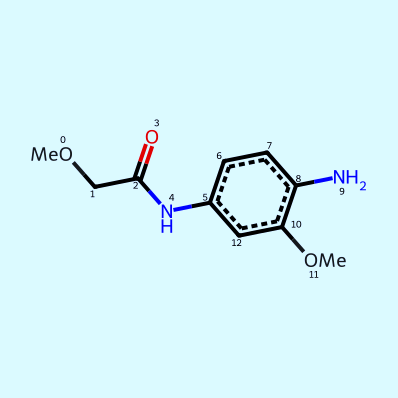 COCC(=O)Nc1ccc(N)c(OC)c1